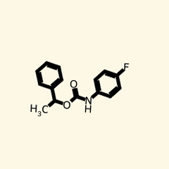 CC(OC(=O)Nc1ccc(F)cc1)c1ccccc1